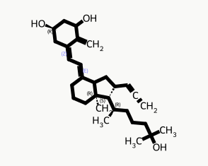 C=C=CC1CC2/C(=C/C=C3/C[C@@H](O)CC(O)C3=C)CCC[C@]2(C)[C@H]1[C@H](C)CCCC(C)(C)O